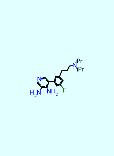 CC(C)N(CCCc1cc(F)cc(-c2cncc(N)c2N)c1)C(C)C